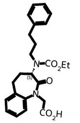 CCOC(=O)N(CCCc1ccccc1)[C@H]1CCc2ccccc2N(CC(=O)O)C1=O